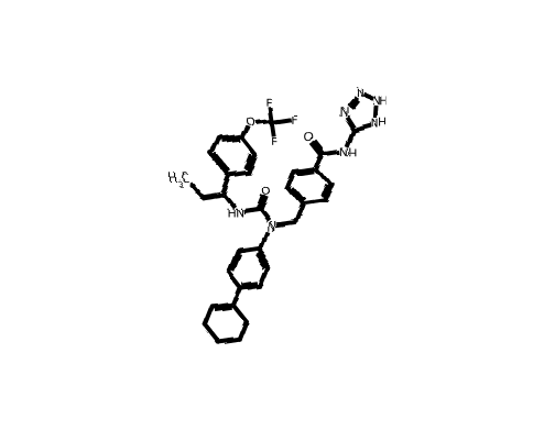 CCC(NC(=O)N(Cc1ccc(C(=O)NC2N=NNN2)cc1)c1ccc(C2=CCCCC2)cc1)c1ccc(OC(F)(F)F)cc1